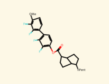 CCCCCC1CCC2C(C(=O)Oc3ccc(-c4ccc(OC)c(F)c4F)c(F)c3F)CCC12